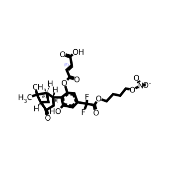 CC1(C)[C@@H]2C[C@H]1C(=O)C[C@H]2c1c(O)cc(C(F)(F)C(=O)OCCCCO[N+](=O)[O-])cc1OC(=O)/C=C/C(=O)O